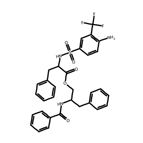 Nc1ccc(S(=O)(=O)NC(Cc2ccccc2)C(=O)OCC(Cc2ccccc2)NC(=O)c2ccccc2)cc1C(F)(F)F